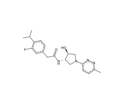 Cc1ccc(N2C[C@H](NC(=O)Cc3ccc(C(C)C)c(F)c3)[C@@H](O)C2)nn1